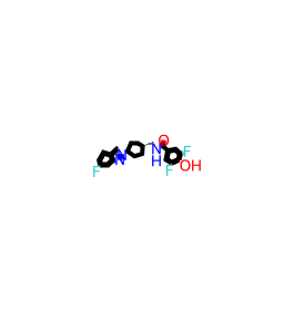 O=C(NC[C@H]1CC[C@H](n2cc3ccc(F)cc3n2)CC1)c1cc(F)c(O)c(F)c1